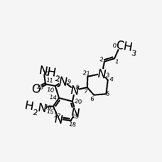 CC=CN1CCCC(n2nc(C(N)=O)c3c(N)ncnc32)C1